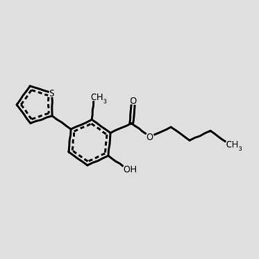 CCCCOC(=O)c1c(O)ccc(-c2cccs2)c1C